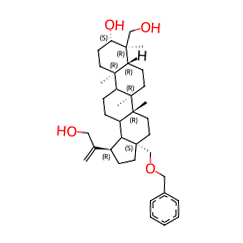 C=C(CO)[C@@H]1CC[C@]2(COCc3ccccc3)CC[C@]3(C)C(CCC4[C@@]5(C)CC[C@H](O)[C@@](C)(CO)[C@@H]5CC[C@]43C)C12